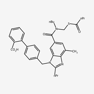 CCCCN(CSC(=O)CCC)C(=O)c1cc(C)c2nc(CCC)n(Cc3ccc(-c4ccccc4C(=O)O)cc3)c2c1